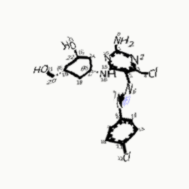 Nc1nc(Cl)c(/N=N/c2ccc(Cl)cc2)c(N[C@@H]2C[C@H](CO)[C@@H](O)C2)n1